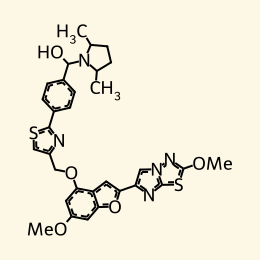 COc1cc(OCc2csc(-c3ccc(C(O)N4C(C)CCC4C)cc3)n2)c2cc(-c3cn4nc(OC)sc4n3)oc2c1